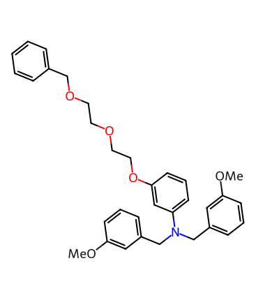 COc1cccc(CN(Cc2cccc(OC)c2)c2cccc(OCCOCCOCc3ccccc3)c2)c1